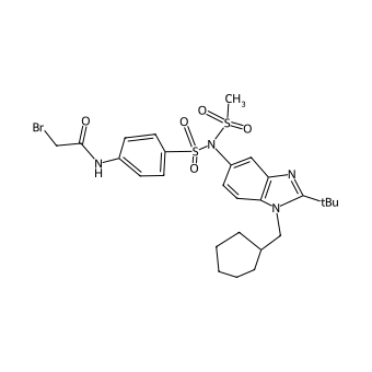 CC(C)(C)c1nc2cc(N(S(C)(=O)=O)S(=O)(=O)c3ccc(NC(=O)CBr)cc3)ccc2n1CC1CCCCC1